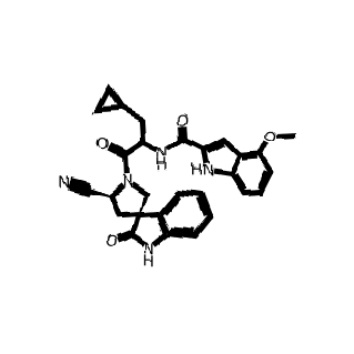 COc1cccc2[nH]c(C(=O)NC(CC3CC3)C(=O)N3C[C@]4(C[C@H]3C#N)C(=O)Nc3ccccc34)cc12